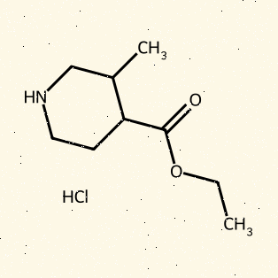 CCOC(=O)C1CCNCC1C.Cl